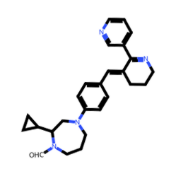 O=CN1CCCN(c2ccc(C=C3CCCN=C3c3cccnc3)cc2)CC1C1CC1